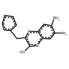 Nc1cc2nc(O)c(Cc3ccccc3)nc2cc1N